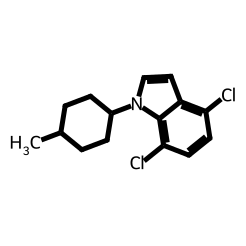 CC1CCC(n2ccc3c(Cl)ccc(Cl)c32)CC1